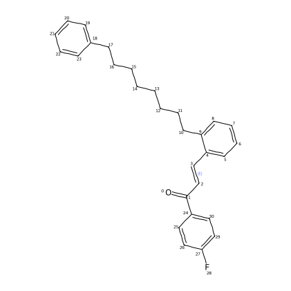 O=C(/C=C/c1ccccc1CCCCCCCCc1ccccc1)c1ccc(F)cc1